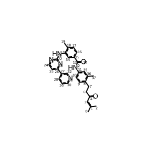 CC(C)=CC(=O)CCc1ccc(NC(=O)c2ccc(C)c(Nc3nccc(-c4cccnc4)n3)c2)cc1C